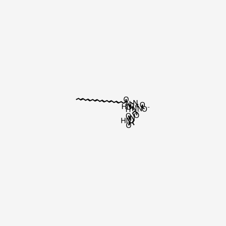 CCC=CCC=CCC=CCC=CCC=CCC=CCCC(=O)NCCN(C)CCN(C[C@@H]1O[C@H](n2cc(C)c(=O)[nH]c2=O)C[C@@H]1N=[N+]=N)C(=O)[O-]